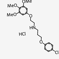 COc1cc(OCCNCCCOc2ccc(Cl)cc2)cc(OC)c1OC.Cl